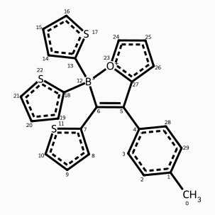 Cc1ccc(C2=C(c3cccs3)[B-](c3cccs3)(c3cccs3)[o+]3cccc32)cc1